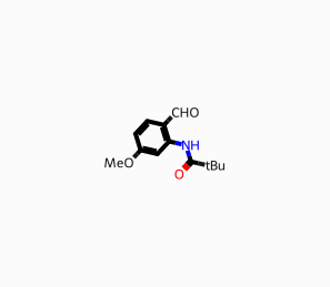 COc1ccc(C=O)c(NC(=O)C(C)(C)C)c1